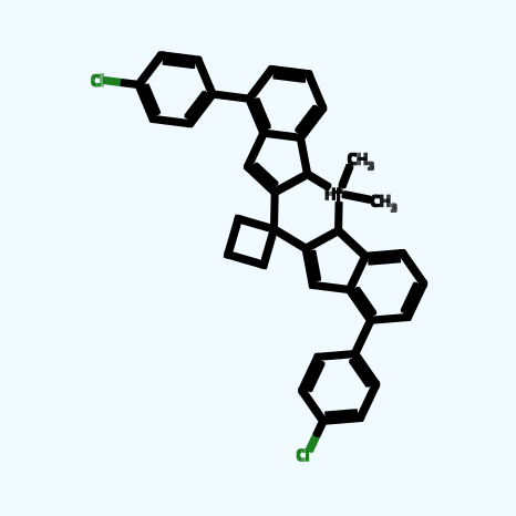 [CH3][Hf]1([CH3])[CH]2C(=Cc3c(-c4ccc(Cl)cc4)cccc32)C2(CCC2)C2=Cc3c(-c4ccc(Cl)cc4)cccc3[CH]21